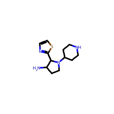 NC1CCN(C2CCNCC2)C1c1nccs1